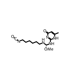 CO[C@H](NCCCCCCN=C=O)Nc1nc(=O)cc(C)[nH]1